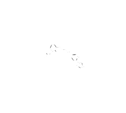 O=C(O)Cn1cccc(CCCCOc2ccc(-n3cncn3)nc2)c1=O